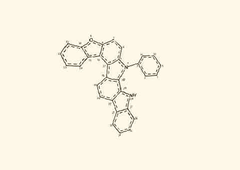 c1ccc(-n2c3ccc4oc5ccccc5c4c3c3ccc4c5ccccc5[nH]c4c32)cc1